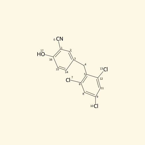 N#Cc1[c]c(Cc2c(Cl)cc(Cl)cc2Cl)ccc1O